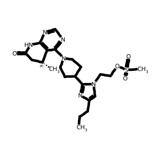 CCCc1cn(CCOS(C)(=O)=O)c(C2CCN(c3ncnc4c3[C@H](C)CC(=O)N4)CC2)n1